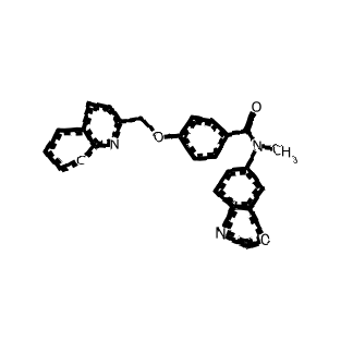 CN(C(=O)c1ccc(OCc2ccc3ccccc3n2)cc1)c1ccc2ncoc2c1